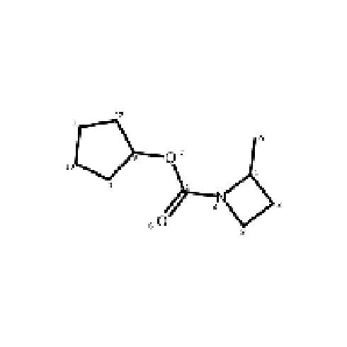 CC1CCN1C(=O)OC1CCCC1